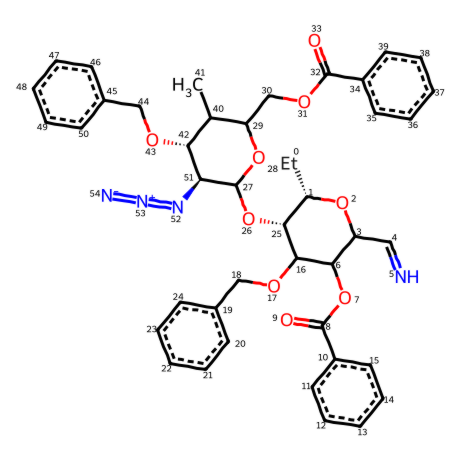 CC[C@@H]1OC(C=N)C(OC(=O)c2ccccc2)C(OCc2ccccc2)[C@@H]1OC1OC(COC(=O)c2ccccc2)C(C)[C@@H](OCc2ccccc2)[C@@H]1N=[N+]=[N-]